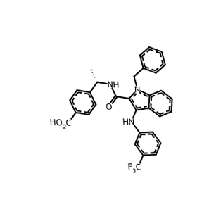 C[C@H](NC(=O)c1c(Nc2cccc(C(F)(F)F)c2)c2ccccc2n1Cc1ccccc1)c1ccc(C(=O)O)cc1